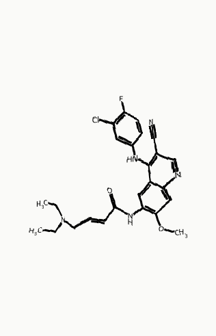 CCN(CC)CC=CC(=O)Nc1cc2c(Nc3ccc(F)c(Cl)c3)c(C#N)cnc2cc1OC